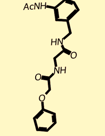 CC(=O)Nc1cccc(CNC(=O)CNC(=O)COc2ccccc2)c1